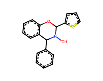 ON1C(c2cccs2)Oc2ccccc2C1c1ccccc1